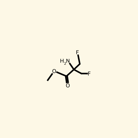 COC(=O)C(N)(CF)CF